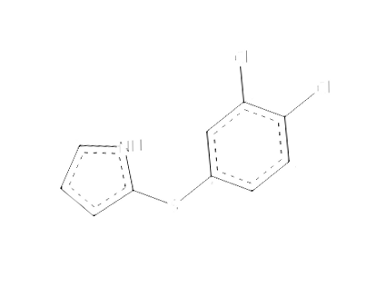 Clc1ccc(Sc2ccc[nH]2)cc1Cl